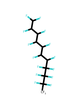 FC(F)C(F)C(F)C(F)C(F)C(F)C(F)C(F)(F)C(F)(F)C(F)(F)C(F)(F)F